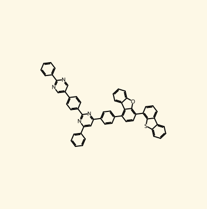 c1ccc(-c2cc(-c3ccc(-c4ccc(-c5cccc6c5sc5ccccc56)c5oc6ccccc6c45)cc3)nc(-c3ccc(-c4cnc(-c5ccccc5)nc4)cc3)n2)cc1